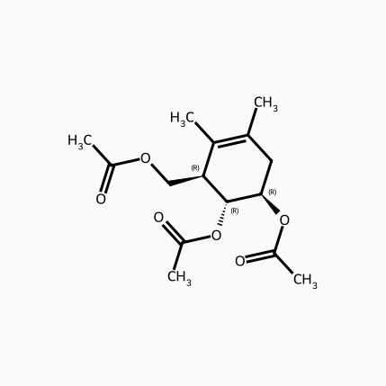 CC(=O)OC[C@H]1C(C)=C(C)C[C@@H](OC(C)=O)[C@@H]1OC(C)=O